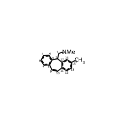 CNCC1c2ccccc2C=Cc2ccc(C)cc21